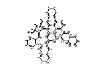 c1ccc(-c2ccccc2-c2cc(-c3nc(-c4ccc5ccccc5c4)nc(-c4ccc5ccccc5c4)n3)c3c(c2)oc2cc4ccccc4cc23)cc1